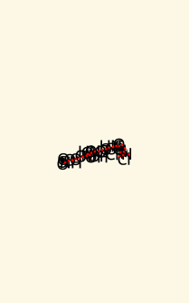 CN1Cc2c(Cl)cc(Cl)cc2[C@H](c2cccc(S(=O)(=O)NCCOCCOCCOCCNC(=O)[C@H](O)[C@@H](O)C(=O)NCCOCCOCCOCCNS(C)(=O)=O)c2)C1